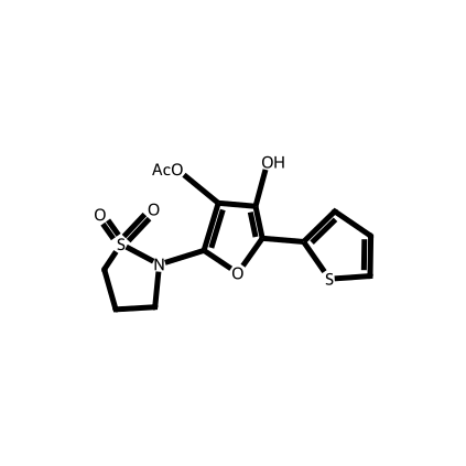 CC(=O)Oc1c(N2CCCS2(=O)=O)oc(-c2cccs2)c1O